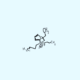 CCCCS(=N)(CCCC)(CCCC)c1ccco1